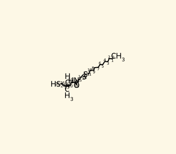 CCCCCCCCCCCCSSCCNC(=O)CCC(C)(C)CCS